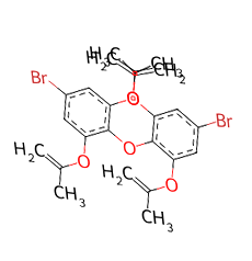 C=C(C)Oc1cc(Br)cc(OC(=C)C)c1Oc1c(OC(=C)C)cc(Br)cc1OC(=C)C